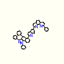 c1ccc(-c2ccc3ccc4ccc(-c5ccc6nc(-c7cccc8c7cc(-c7ccccc7)c7c(-c9ccccc9)nn(-c9ccccc9)c78)ccc6c5)nc4c3n2)cc1